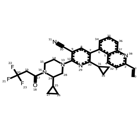 C=Cc1ccc2c(-c3cc(C#N)c(N4CCN(C(=O)CC(F)(F)F)C(C5CC5)C4)nc3C3CC3)cccc2n1